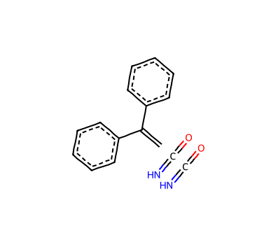 C=C(c1ccccc1)c1ccccc1.N=C=O.N=C=O